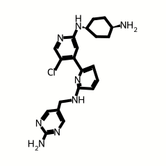 Nc1ncc(CNc2cccc(-c3cc(N[C@H]4CC[C@H](N)CC4)ncc3Cl)n2)cn1